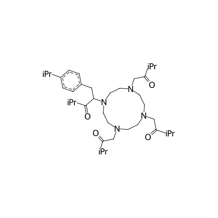 CC(C)C(=O)CN1CCN(CC(=O)C(C)C)CCN(C(Cc2ccc(C(C)C)cc2)C(=O)C(C)C)CCN(CC(=O)C(C)C)CC1